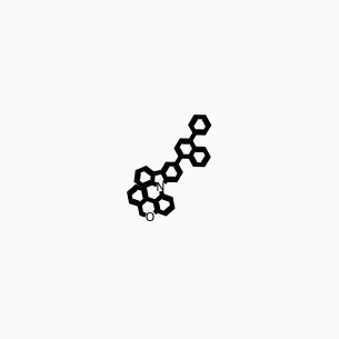 c1ccc(-c2ccc(-c3ccc4c(c3)c3ccccc3n4-c3cccc4c3-c3ccccc3CO4)c3ccccc23)cc1